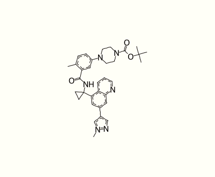 Cc1ccc(N2CCN(C(=O)OC(C)(C)C)CC2)cc1C(=O)NC1(c2cc(-c3cnn(C)c3)cc3ncccc23)CC1